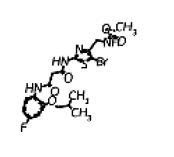 CC(C)COc1cc(F)ccc1NC(=O)CC(=O)Nc1nc(CNS(C)(=O)=O)c(Br)s1